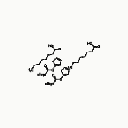 CCCCCCCC(=O)O.CCCCCCCC(=O)O.CCCCCCCC(=O)OC1=CC=CC1.CCCCCCCC(=O)OC1=CC=CC1